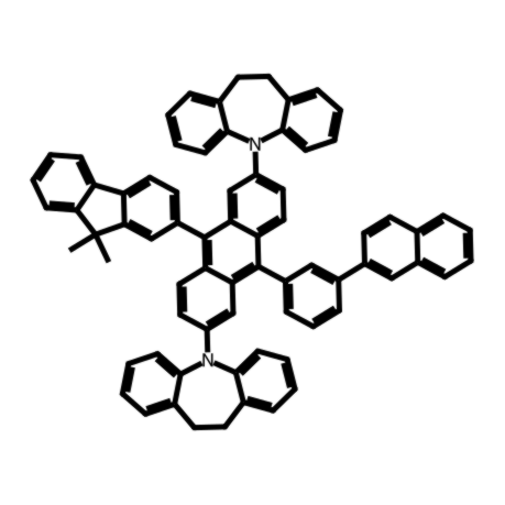 CC1(C)c2ccccc2-c2ccc(-c3c4ccc(N5c6ccccc6CCc6ccccc65)cc4c(-c4cccc(-c5ccc6ccccc6c5)c4)c4ccc(N5c6ccccc6CCc6ccccc65)cc34)cc21